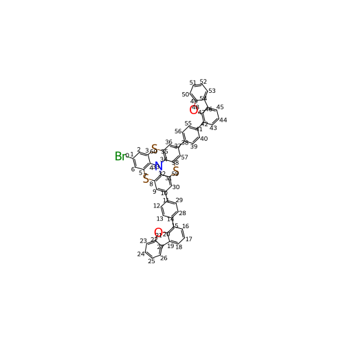 Brc1cc2c3c(c1)Sc1cc(-c4ccc(-c5cccc6c5oc5ccccc56)cc4)cc4c1N3c1c(cc(-c3ccc(-c5cccc6c5oc5ccccc56)cc3)cc1S4)S2